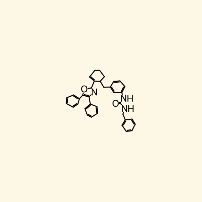 O=C(NCc1ccccc1)Nc1cccc(CC2CCCC=C2c2nc(-c3ccccc3)c(-c3ccccc3)o2)c1